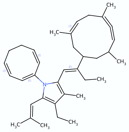 CC/C(=C\c1c(C)c(CC)c(C=C(C)C)n1C1=C/C=C\CC/C=C\1)C1C/C(C)=C\CC(C)=C=CC(C)C1